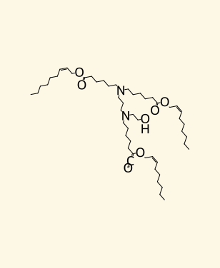 CCCCCC/C=C\COC(=O)CCCCCN(CCCCCC(=O)OC/C=C\CCCCCC)CCCN(CCO)CCCCCC(=C=O)OC/C=C\CCCCCC